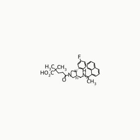 C[C@@H](NC[C@H]1CN(C(=O)CCC(C)(C)C(=O)O)C[C@@H]1c1cccc(F)c1)c1cccc2ccccc12